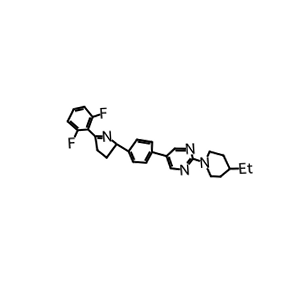 CCC1CCN(c2ncc(-c3ccc(C4CCC(c5c(F)cccc5F)=N4)cc3)cn2)CC1